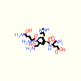 NC(=O)C(CCC(=O)O)NC(=O)[C@H]1CC(CC(N)O)C(NC(=O)C(N)CCC(N)O)C[C@@H]1Cc1cnc[nH]1